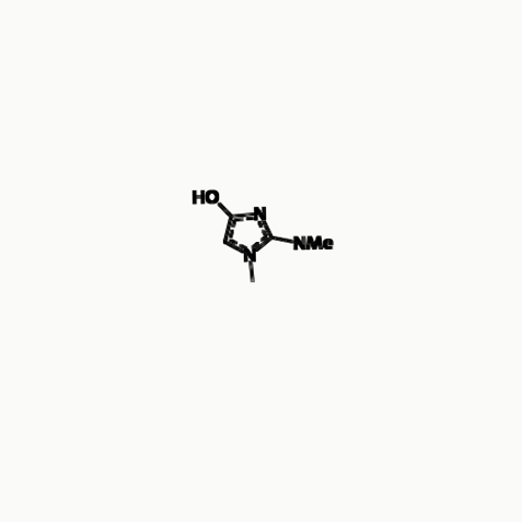 CNc1nc(O)cn1C